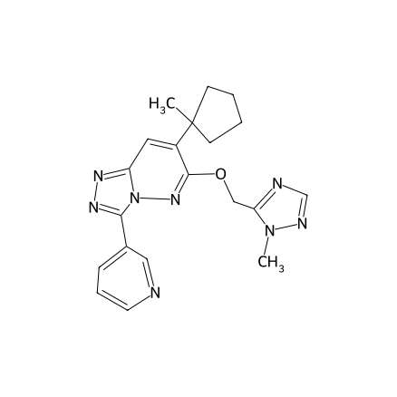 Cn1ncnc1COc1nn2c(-c3cccnc3)nnc2cc1C1(C)CCCC1